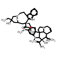 CCC1(O)CC2C[N@](CCc3c([nH]c4ccccc34)[C@](Cc3cc4c(cc3OC)N(C)C3C45CCN4CC=C[C@](CC)(C45)C(O)[C@]3(O)C(N)=O)(C(=O)OC)C2)C1